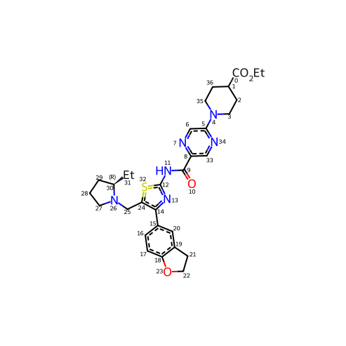 CCOC(=O)C1CCN(c2cnc(C(=O)Nc3nc(-c4ccc5c(c4)CCO5)c(CN4CCC[C@H]4CC)s3)cn2)CC1